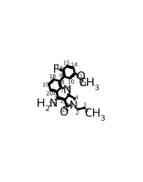 CCCN1Cc2nc3c(-c4cc(OC)ccc4F)cccc3c(N)c2C1=O